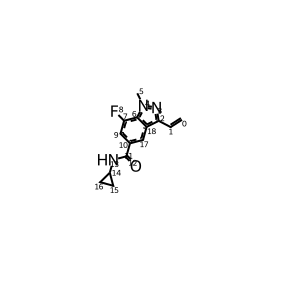 C=Cc1nn(C)c2c(F)cc(C(=O)NC3CC3)cc12